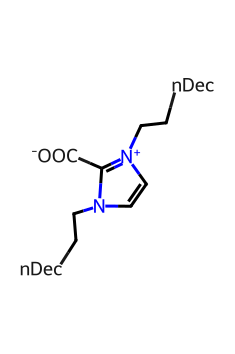 CCCCCCCCCCCCn1cc[n+](CCCCCCCCCCCC)c1C(=O)[O-]